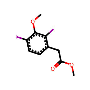 COC(=O)Cc1ccc(I)c(OC)c1I